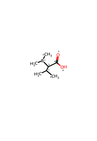 CB(C)C(C(=O)O)C(C)C